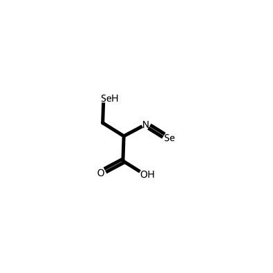 O=C(O)C(C[SeH])N=[Se]